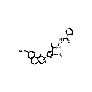 COc1ccc2c(c1)CCc1cnc(-n3cc(C(=O)NCCNC(=O)c4cccnc4)c(N)n3)nc1-2